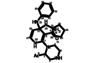 CC(=O)C1CNCCN1C1=C(C(N)=O)C(Nc2ccccc2)(NC2CCCC2)C=CN1